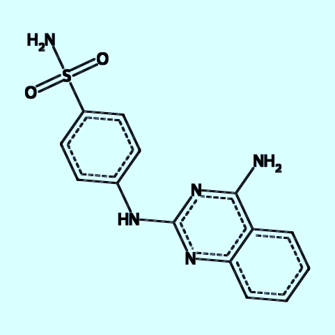 Nc1nc(Nc2ccc(S(N)(=O)=O)cc2)nc2ccccc12